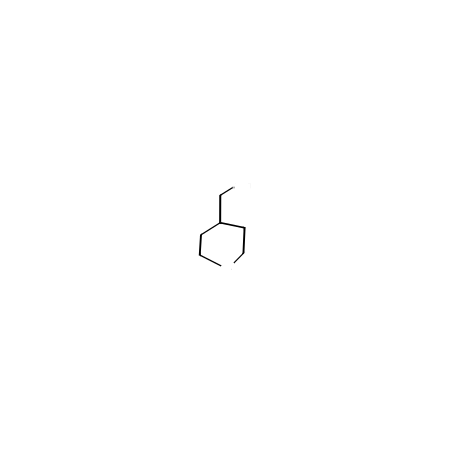 CCCCC1CCOCC1